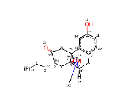 CC(C)CC[C@H]1C[C@@]2(O)[C@H]3Cc4ccc(O)cc4[C@@]2(CCN3C)CC1=O